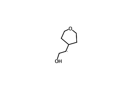 OC[CH]C1CCOCC1